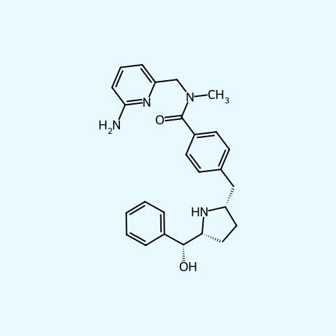 CN(Cc1cccc(N)n1)C(=O)c1ccc(C[C@@H]2CC[C@H]([C@H](O)c3ccccc3)N2)cc1